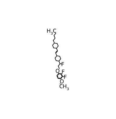 CCCCCC1CCC(/C=C/C2CCC(C(F)CCOc3ccc(OCC)c(F)c3F)CC2)CC1